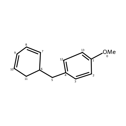 COc1ccc(CC2C=CC=CC2)cc1